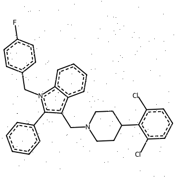 Fc1ccc(Cn2c(-c3ccccc3)c(CN3CCC(c4c(Cl)cccc4Cl)CC3)c3ccccc32)cc1